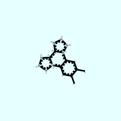 Cc1cc2c(cc1C)n1nnnc1c1nnnn21